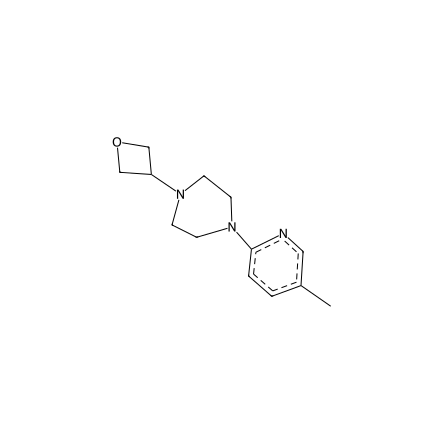 Cc1ccc(N2CCN(C3COC3)CC2)nc1